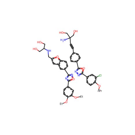 CCCOc1ccc(-c2nnc(-c3ccc(C#CC(N)(CO)CO)cc3)o2)cc1Cl.CCOc1ccc(-c2nc(-c3ccc4oc(CNC(CO)CO)cc4c3)no2)cc1OCC